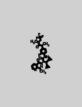 CCc1ncccc1C(=O)N[C@H](C(=O)Nc1ccc([C@H](C)C(=O)N(C)CC(F)(F)F)cc1F)C(C1CC1)C1CC1